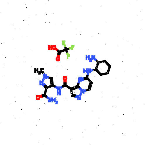 Cn1cc(NC(=O)c2cnn3ccc(N[C@@H]4CCCC[C@H]4N)nc23)c(C(N)=O)n1.O=C(O)C(F)(F)F